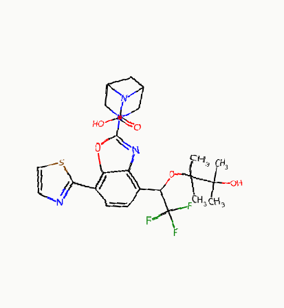 CC(C)(O)C(C)(C)OC(c1ccc(-c2nccs2)c2oc(N3CC4CC(C3)N4C(=O)O)nc12)C(F)(F)F